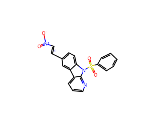 O=[N+]([O-])/C=C/c1ccc2c(c1)c1cccnc1n2S(=O)(=O)c1ccccc1